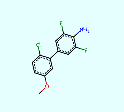 COc1ccc(Cl)c(-c2cc(F)c(N)c(F)c2)c1